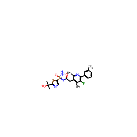 CC(C)c1nc(-c2cccc(C(F)(F)F)c2)c(F)c(C(C)C)c1CC(=O)N=[S@](N)(=O)c1cnc(C(C)(C)O)s1